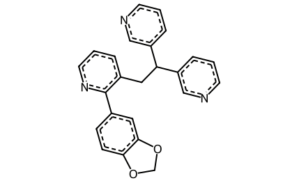 c1cncc(C(Cc2cccnc2-c2ccc3c(c2)OCO3)c2cccnc2)c1